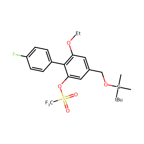 CCOc1cc(CO[Si](C)(C)C(C)(C)C)cc(OS(=O)(=O)C(F)(F)F)c1-c1ccc(F)cc1